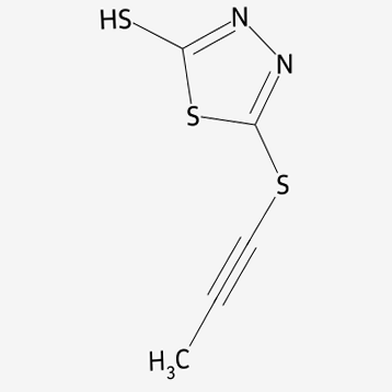 CC#CSc1nnc(S)s1